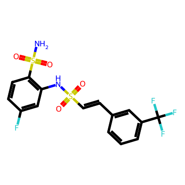 NS(=O)(=O)c1ccc(F)cc1NS(=O)(=O)/C=C/c1cccc(C(F)(F)F)c1